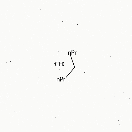 CCCCCCC.[CH]